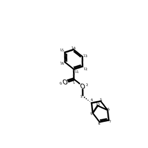 O=C(OC[C@@H]1CC2C=CC1C2)c1ccccc1